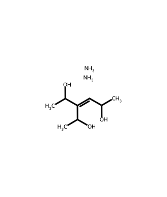 CC(O)C=C(C(C)O)C(C)O.N.N